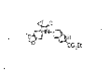 CCOC(=O)c1cc2c([nH]1)=CCC(NC(=O)C1(c3ccc4c(c3)OCO4)CC1)C=2